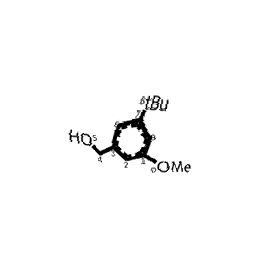 COc1cc(CO)cc(C(C)(C)C)c1